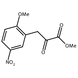 COC(=O)C(=O)Cc1cc([N+](=O)[O-])ccc1OC